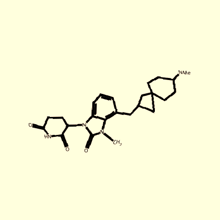 CNC1CCC2(CC1)CC(Cc1cccc3c1n(C)c(=O)n3C1CCC(=O)NC1=O)C2